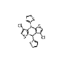 Clc1csc2c1C(c1cccs1)c1scc(Cl)c1C2c1cccs1